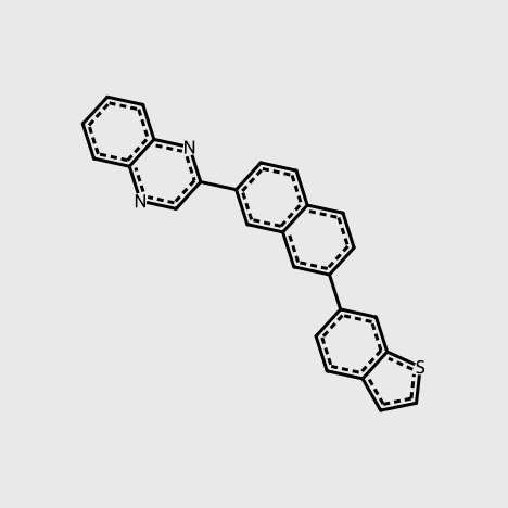 c1ccc2nc(-c3ccc4ccc(-c5ccc6ccsc6c5)cc4c3)cnc2c1